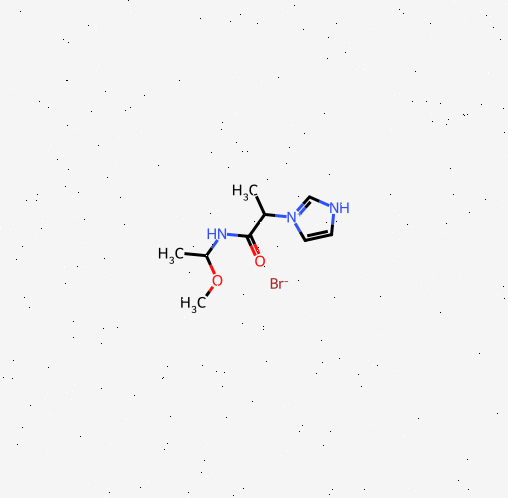 COC(C)NC(=O)C(C)[n+]1cc[nH]c1.[Br-]